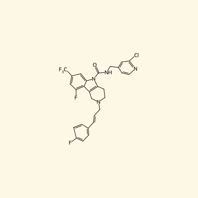 O=C(NCc1ccnc(Cl)c1)n1c2c(c3c(F)cc(C(F)(F)F)cc31)CN(CC=Cc1ccc(F)cc1)CC2